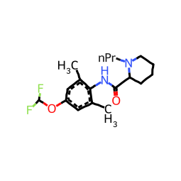 CCCN1CCCCC1C(=O)Nc1c(C)cc(OC(F)F)cc1C